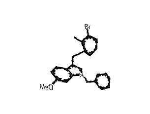 COc1ccc2c(Cc3cccc(Br)c3C)cn(Cc3ccccc3)c2c1